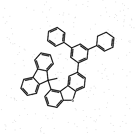 CC1(c2cccc3sc4ccc(-c5cc(C6=CC=CCC6)cc(-c6ccccc6)c5)cc4c23)c2ccccc2-c2ccccc21